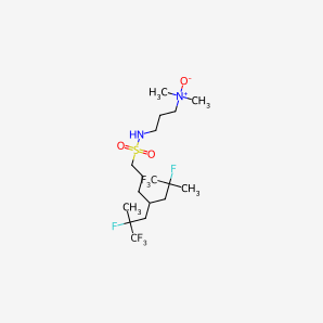 CC(F)(CC(CCCS(=O)(=O)NCCC[N+](C)(C)[O-])CC(C)(F)C(F)(F)F)C(F)(F)F